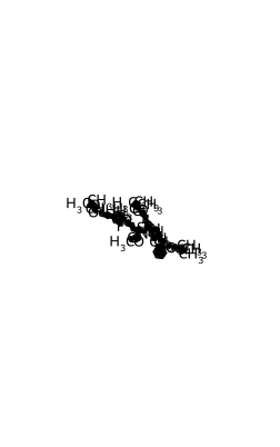 COC(=O)c1nc(N(CCCCO[Si](C)(C)C(C)(C)C)c2cc(C)c(/N=c3\sc4ccccc4n3COCC[Si](C)(C)C)nn2)sc1CCCOc1ccc(C#CCNC(=O)OC(C)(C)C)cc1F